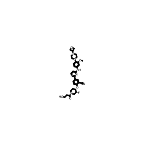 COc1cc(Nc2ccnc(-c3ccc(O[C@H]4CCN(C(=O)CCO)C[C@H]4F)c(C#N)c3)n2)ccc1N1CCN(C2COC2)CC1